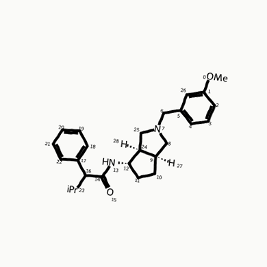 COc1cccc(CN2C[C@H]3CC[C@H](NC(=O)C(c4ccccc4)C(C)C)[C@H]3C2)c1